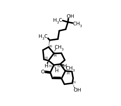 CC(CCCC(C)(C)O)[C@H]1CC[C@H]2[C@@H]3C(=O)C=C4C[C@@H](O)CC[C@]4(C)[C@H]3CC[C@]12C